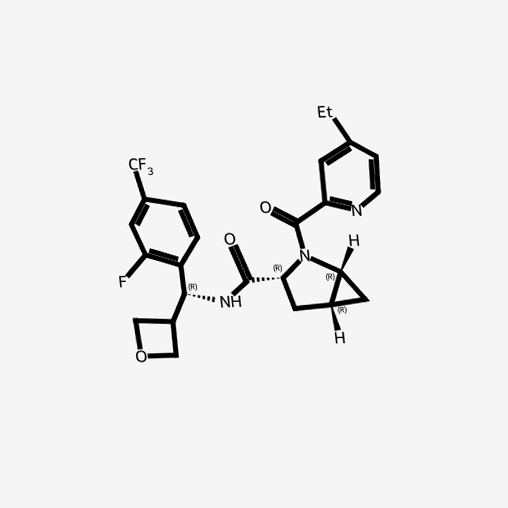 CCc1ccnc(C(=O)N2[C@@H](C(=O)N[C@@H](c3ccc(C(F)(F)F)cc3F)C3COC3)C[C@H]3C[C@H]32)c1